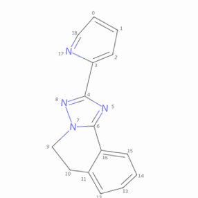 c1ccc(-c2nc3n(n2)CCc2ccccc2-3)nc1